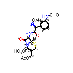 CON=C(C(=O)N[C@@H]1C(=O)N2C(C(=O)O)=C(COC(C)=O)CS[C@H]12)c1cccc(NC=O)c1